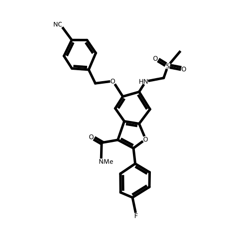 CNC(=O)c1c(-c2ccc(F)cc2)oc2cc(NCS(C)(=O)=O)c(OCc3ccc(C#N)cc3)cc12